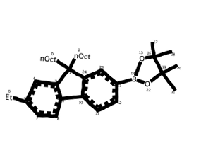 CCCCCCCCC1(CCCCCCCC)c2cc(CC)ccc2-c2ccc(B3OC(C)(C)C(C)(C)O3)cc21